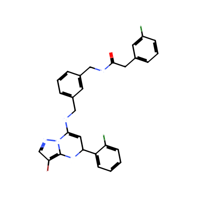 O=C(Cc1cccc(Cl)c1)NCc1cccc(CNC2=CC(c3ccccc3Cl)Nc3c(Br)cnn32)c1